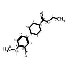 CCOC(=O)[C@H]1CC[C@H](c2ccc(NC)c(F)c2)CC1